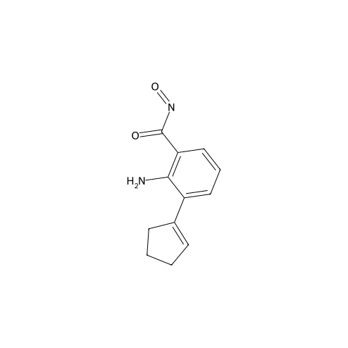 Nc1c(C(=O)N=O)cccc1C1=CCCC1